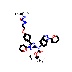 CC(C)NC(=O)NCCOc1ccc(-c2nc(N(C(=O)OC(C)(C)C)c3ccc4c(cnn4C4CCCCO4)c3)nn2C2CCCCO2)cc1